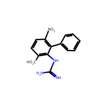 N=C(N)Nc1c(C(=O)O)ccc([N+](=O)[O-])c1-c1ccccc1